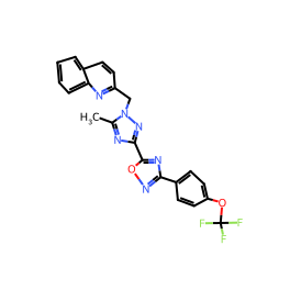 Cc1nc(-c2nc(-c3ccc(OC(F)(F)F)cc3)no2)nn1Cc1ccc2ccccc2n1